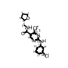 O=C(NC[C@@H]1CCCO1)c1cnc(Nc2cccc(Cl)c2)nc1C(F)(F)F